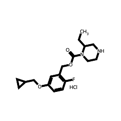 CCC1CNCCN1C(=O)OCc1cc(OCC2CC2)ccc1F.Cl